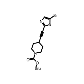 CC(C)(C)OC(=O)N1CCC(C#Cc2ncc(Br)s2)CC1